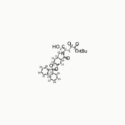 CC(C)(C)OC(=O)C(=O)CC(C(=O)O)N1Cc2cc3c(cc2C1=O)OC(c1ccccc1)(c1ccccc1)O3